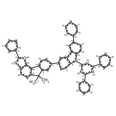 CC1(C)c2cc(-c3ccc4c(c3)c3cc(-c5ccccc5)ccc3n4-c3nc(-c4ccccc4)nc(-c4ccccc4)n3)ccc2-c2c1ccc1nc(-c3ccccc3)oc21